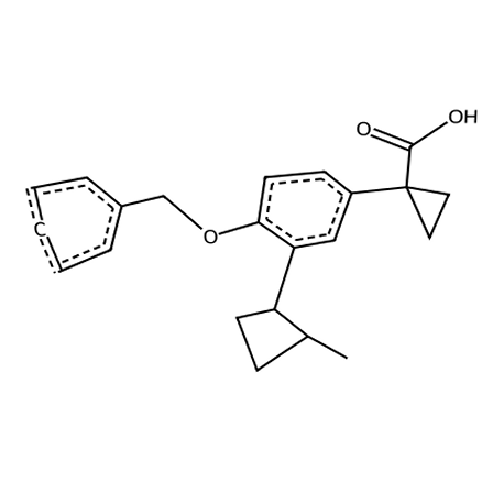 CC1CCC1c1cc(C2(C(=O)O)CC2)ccc1OCc1ccccc1